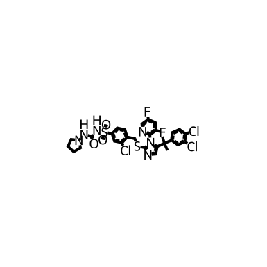 CC(C)(c1ccc(Cl)c(Cl)c1)c1cnc(SCc2ccc(S(=O)(=O)NC(=O)NN3CCCC3)cc2Cl)n1-c1ncc(F)cc1F